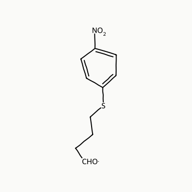 O=[C]CCCSc1ccc([N+](=O)[O-])cc1